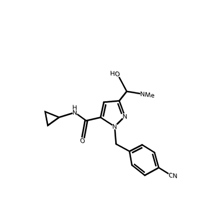 CNC(O)c1cc(C(=O)NC2CC2)n(Cc2ccc(C#N)cc2)n1